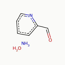 N.O.O=Cc1ccccn1